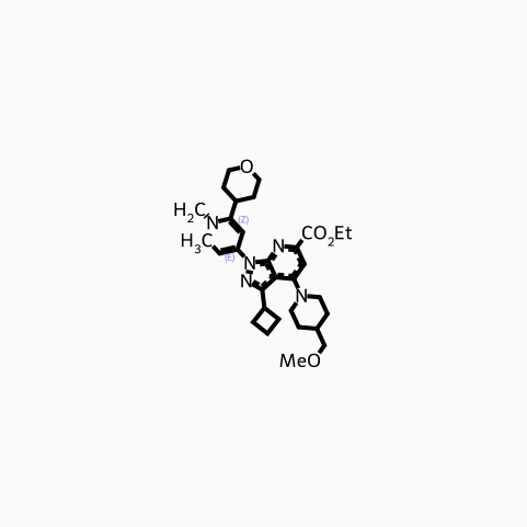 C=N/C(=C\C(=C/C)n1nc(C2CCC2)c2c(N3CCC(COC)CC3)cc(C(=O)OCC)nc21)C1CCOCC1